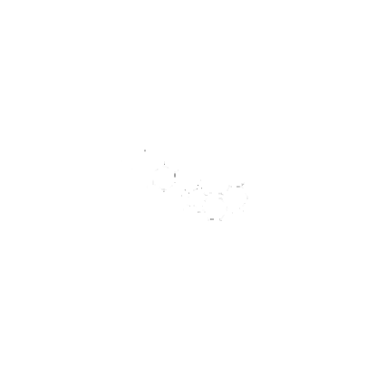 CCOC(O)c1ccc(-n2nc3ccc4ccccc4c3n2)cc1